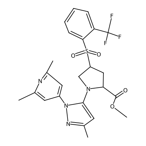 COC(=O)C1CC(S(=O)(=O)c2ccccc2C(F)(F)F)CN1c1cc(C)nn1-c1cc(C)nc(C)c1